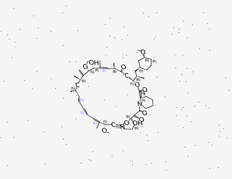 C=C1[C@H](C)C[C@H](C)/C=C/C=C/C=C(\C)[C@@H](OC)C[C@@H]2CC[C@@H](C)[C@@](O)(O2)C(=O)C(=O)N2CCCC[C@H]2C(=O)O[C@H]([C@H](C)C[C@@H]2CC[C@@H](C)[C@H](OC)C2)CC(=O)[C@H](C)/C=C(\C)[C@@H](O)[C@H]1OC